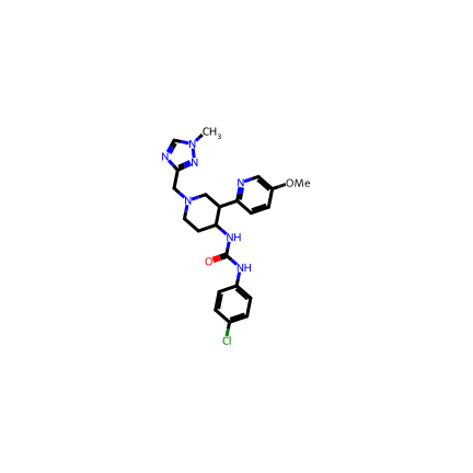 COc1ccc(C2CN(Cc3ncn(C)n3)CCC2NC(=O)Nc2ccc(Cl)cc2)nc1